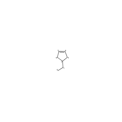 CCC1CC=CC1